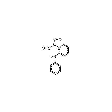 O=CN(C=O)c1ccccc1Nc1ccccc1